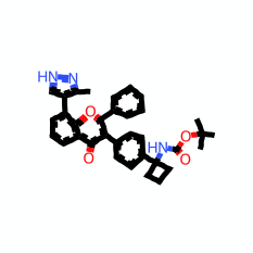 Cc1n[nH]cc1-c1cccc2c(=O)c(-c3ccc(C4(NC(=O)OC(C)(C)C)CCC4)cc3)c(-c3ccccc3)oc12